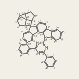 c1ccc(-c2nc(-c3ccccc3)nc(-n3c4ccccc4c4ccc5c(c43)-c3ccccc3C53C4CC5CC6CC3C4(C5)C6)n2)cc1